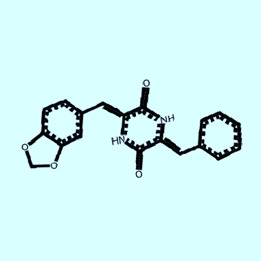 O=c1[nH]c(=Cc2ccc3c(c2)OCO3)c(=O)[nH]c1=Cc1ccccc1